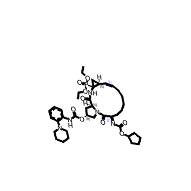 CCOP(=O)(OCC)[C@@]12C[C@H]1/C=C\CCCCC/C(=N\C(=O)OC1CCCC1)C(=O)N1C[C@H](OC(=O)Nc3ccccc3N3CCCCC3)C[C@H]1C(=O)N2